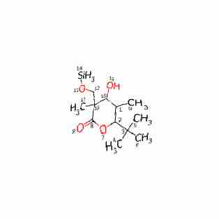 CC1C(C(C)(C)C)OC(=O)C(C)(CO[SiH3])C1O